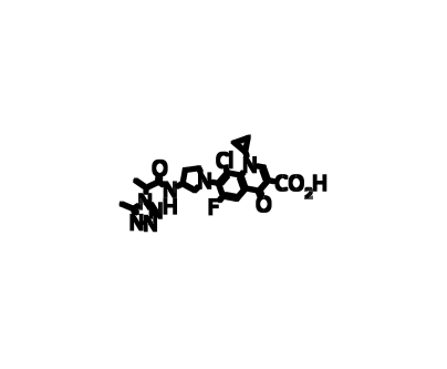 Cc1nnnn1C(C)C(=O)NC1CCN(c2c(F)cc3c(=O)c(C(=O)O)cn(C4CC4)c3c2Cl)C1